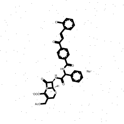 CC(=O)OCC1=C(C(=O)[O-])N2C(=O)[C@@H](NC(=O)C(NC(=O)c3ccc(C(=O)C=Cc4ccccc4Cl)cc3)c3ccccc3)[C@H]2SC1.[Na+]